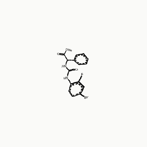 COC(=O)C(NC(=O)Nc1ccc(Br)cc1F)c1ccccc1